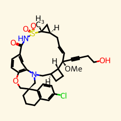 CO[C@]1(C#CCCO)/C=C/C[C@@H]2C[C@@]2(C)S(=O)(=O)NC(=O)c2ccc3c(c2)N(C[C@@H]2CC[C@H]21)C[C@@]1(CCCc2cc(Cl)ccc21)CO3